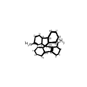 CC1CCCC2=C1C1(C3C=C(N)CCC3C3CCCCC31)C1CCCCC21